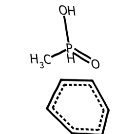 C[PH](=O)O.c1ccccc1